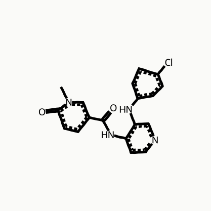 Cn1cc(C(=O)Nc2ccncc2Nc2ccc(Cl)cc2)ccc1=O